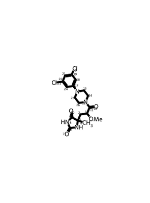 COC(CC1(C)NC(=O)NC1=O)C(=O)N1CCN(c2cc(Cl)cc(Cl)c2)CC1